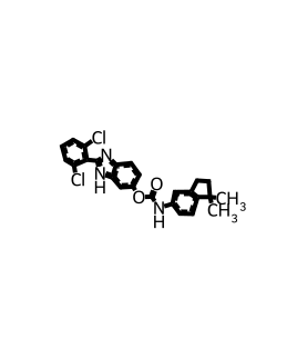 CC1(C)CCc2cc(NC(=O)Oc3ccc4nc(-c5c(Cl)cccc5Cl)[nH]c4c3)ccc21